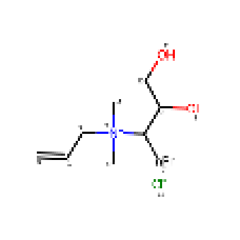 C=CC[N+](C)(C)C(CCC)C(O)CO.[Cl-]